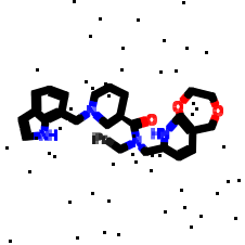 CC(C)CN(CC1C=CC2=C(N1)OCCOC2)C(=O)[C@@H]1CCCN(Cc2cccc3cc[nH]c23)C1